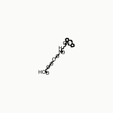 O=C(O)CCOCCOCCOCCOCCNC(=O)CCCCC(=O)N1Cc2ccccc2C#Cc2ccccc21